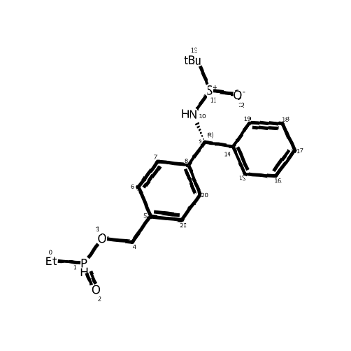 CC[PH](=O)OCc1ccc([C@H](N[S+]([O-])C(C)(C)C)c2ccccc2)cc1